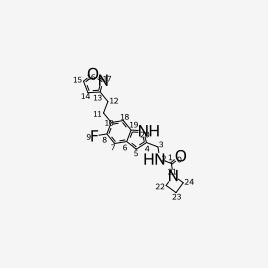 O=C(NCc1cc2cc(F)c(CCc3ccon3)cc2[nH]1)N1CCC1